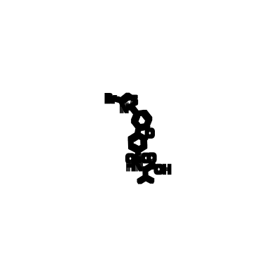 CC(C)[C@H](NS(=O)(=O)c1ccc2c(c1)oc1ccc(-c3nc(Br)cs3)cc12)C(=O)O